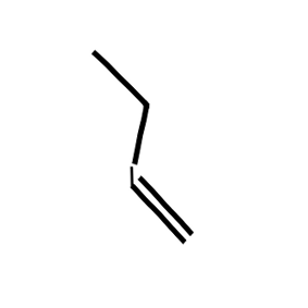 C=ICC